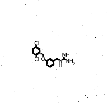 N=C(N)NCc1cccc(OCc2cc(Cl)ccc2Cl)c1